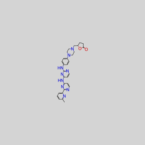 Cc1cccc(-c2nccc(Nc3ccnc(Nc4ccc(N5CCN(CC6CCC(=O)O6)CC5)cc4)n3)n2)n1